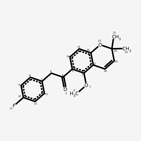 COc1c(C(=O)Cc2ccc(F)cc2)ccc2c1C=CC(C)(C)O2